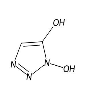 Oc1cnnn1O